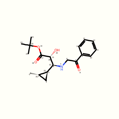 C[C@H]1C[C@@H]1[C@H](NCC(=O)c1ccccc1)[C@@H](O)C(=O)OC(C)(C)C